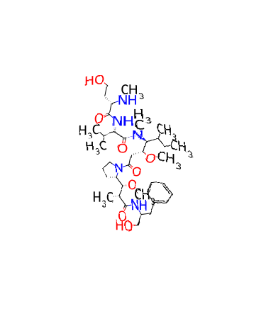 CC[C@H](C)[C@@H]([C@@H](CC(=O)N1CCC[C@H]1[C@H](OC)[C@@H](C)C(=O)N[C@H](CO)Cc1ccccc1)OC)N(C)C(=O)[C@@H](NC(=O)[C@H](CCO)NC)C(C)C